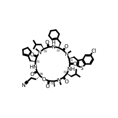 CC(C)C[C@@H]1NC(=O)[C@H](Cc2csc3ccc(Cl)cc23)N(C)C(=O)[C@H](CC2=CCCCC2)NC(=O)[C@H](CC(C)C)N(C)C(=O)[C@H](CC2=CCCC2)NC(=O)[C@@H](CCC#N)OC(=O)[C@H](C)N(C)C1=O